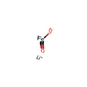 [Li+].[O]=[Fe][O-]